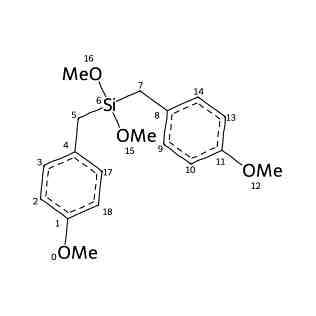 COc1ccc(C[Si](Cc2ccc(OC)cc2)(OC)OC)cc1